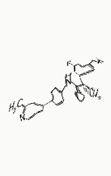 Cc1cc(-c2ccc(NC(=O)[C@H](C)c3cc(F)cc(F)c3)cc2)ccn1